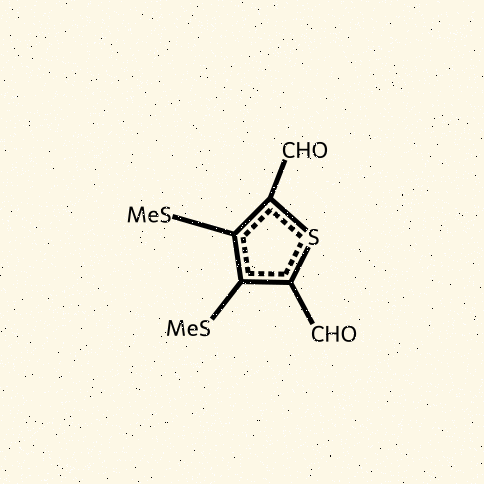 CSc1c(C=O)sc(C=O)c1SC